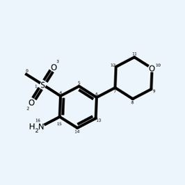 CS(=O)(=O)c1cc(C2CCOCC2)ccc1N